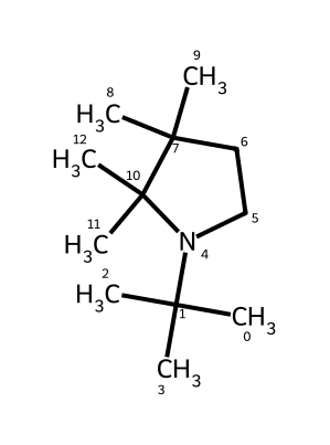 CC(C)(C)N1CCC(C)(C)C1(C)C